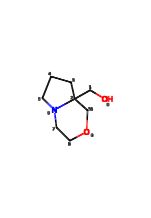 OCC12CCCN1CCOC2